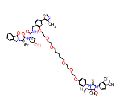 Cc1ncsc1-c1ccc(CNC(=O)[C@@H]2CC(O)CN2C(=O)[C@H](C(C)C)N2Cc3ccccc3C2=O)c(OCCOCCOCCCCCOCCOCCOc2ccc(N3C(=S)N(c4ccc(C#N)c(C(F)(F)F)c4)C(=O)C3(C)C)cc2)c1